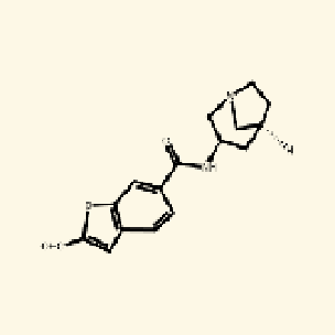 O=Cc1cc2ccc(C(=O)N[C@@H]3C[C@@H]4CCN(C4)C3)cc2o1